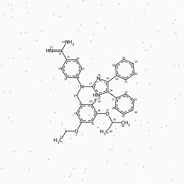 CCOc1cc(CN(c2ccc(C(=N)N)cc2)c2nc(-c3ccccc3)c(-c3ccccc3)[nH]2)c(F)c(OC(C)C)c1